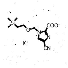 C[Si](C)(C)CCOCn1cc(C#N)nc1C(=O)[O-].[K+]